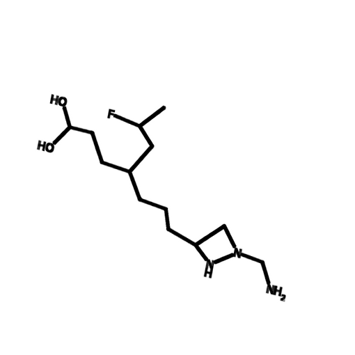 CC(F)CC(CCCC1CN(CN)N1)CCC(O)O